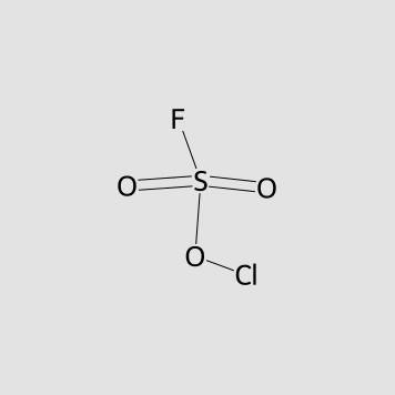 O=S(=O)(F)OCl